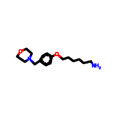 NCCCCCCOc1ccc(CN2CCOCC2)cc1